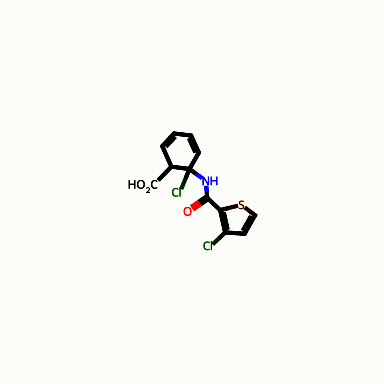 O=C(NC1(Cl)C=CC=CC1C(=O)O)c1sccc1Cl